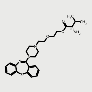 CC(C)[C@H](N)C(=O)OCCOCCN1CCN(C2=Nc3ccccc3Sc3ccccc32)CC1